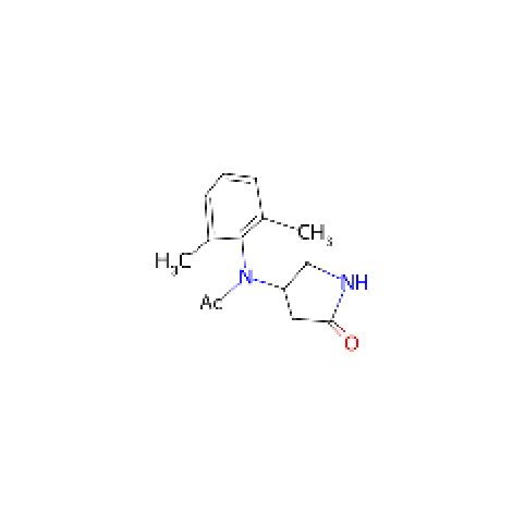 CC(=O)N(c1c(C)cccc1C)C1CNC(=O)C1